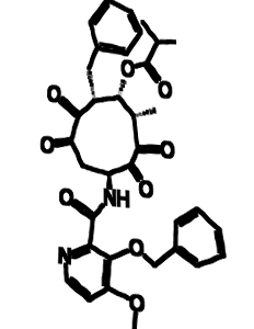 COc1ccnc(C(=O)N[C@H]2CC(=O)C(=O)[C@H](Cc3ccccc3)[C@H](OC(=O)C(C)C)[C@H](C)C(=O)C2=O)c1OCc1ccccc1